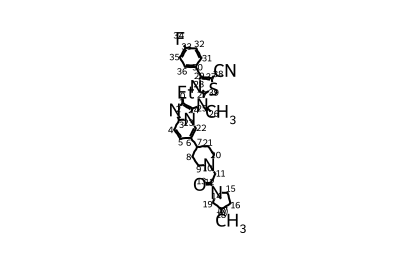 CCc1nc2ccc(C3CCN(CC(=O)N4CC[C@@H](C)C4)CC3)cn2c1N(C)c1nc(-c2ccc(F)cc2)c(C#N)s1